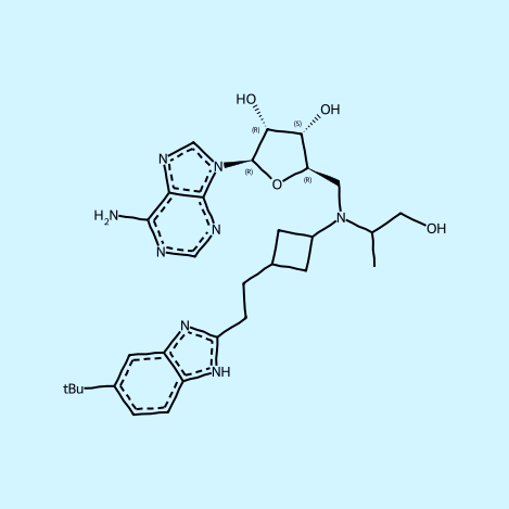 CC(CO)N(C[C@H]1O[C@@H](n2cnc3c(N)ncnc32)[C@H](O)[C@@H]1O)C1CC(CCc2nc3cc(C(C)(C)C)ccc3[nH]2)C1